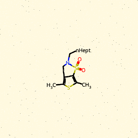 CCCCCCCCN1Cc2c(C)sc(C)c2S1(=O)=O